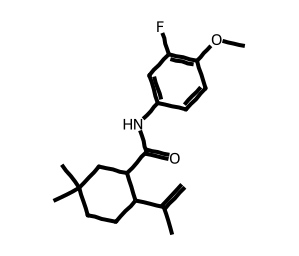 C=C(C)C1CCC(C)(C)CC1C(=O)Nc1ccc(OC)c(F)c1